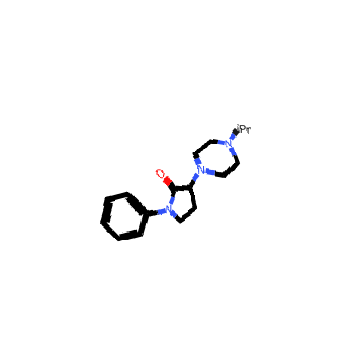 CC(C)N1CCN(C2CCN(c3ccccc3)C2=O)CC1